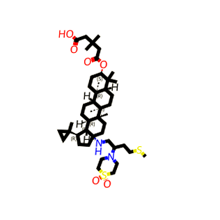 CSCCC(CN[C@]12CC[C@@H](C3(C)CC3)[C@@H]1[C@H]1CC[C@@H]3[C@@]4(C)CC[C@H](OC(=O)CC(C)(C)CC(=O)O)C(C)(C)[C@@H]4CC[C@@]3(C)[C@]1(C)CC2)N1CCS(=O)(=O)CC1